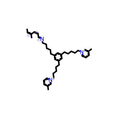 C\C=C(C)/C=C\C=N\CCCCCc1cc(CCCCC[n+]2cccc(C)c2)cc(CCCCC[n+]2cccc(C)c2)c1